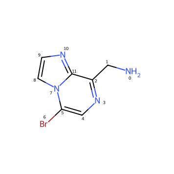 NCc1ncc(Br)n2ccnc12